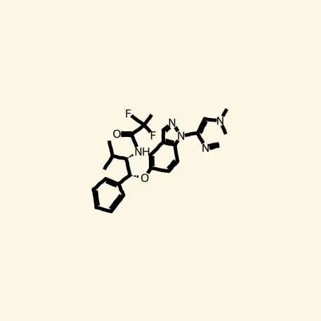 C=N/C(=C\N(C)C)n1ncc2cc(O[C@H](c3ccccc3)[C@@H](NC(=O)C(C)(F)F)C(C)C)ccc21